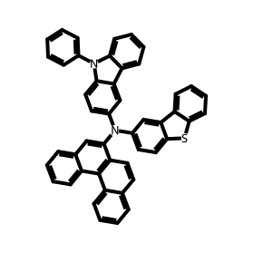 c1ccc(-n2c3ccccc3c3cc(N(c4ccc5sc6ccccc6c5c4)c4cc5ccccc5c5c4ccc4ccccc45)ccc32)cc1